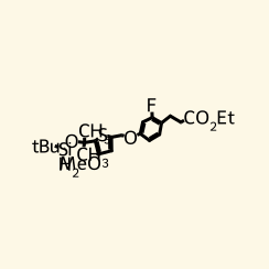 CCOC(=O)CCc1ccc(OCc2cc(OC)c(C(C)(C)O[SiH2]C(C)(C)C)s2)cc1F